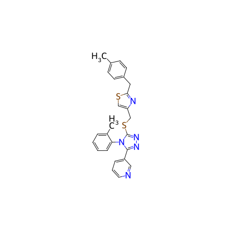 Cc1ccc(Cc2nc(CSc3nnc(-c4cccnc4)n3-c3ccccc3C)cs2)cc1